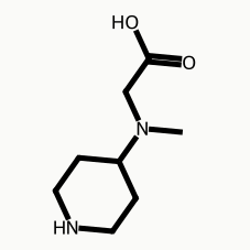 CN(CC(=O)O)C1CCNCC1